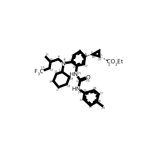 CCOC(=O)[C@H]1C[C@H]1c1ccc(N(CC(C)CC(F)(F)F)C2CCCCC2)c(NC(=O)Nc2ccc(C)cc2)c1